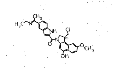 CCN=C(C)c1ccc2[nH]c(C(=O)N3C[C@@H](CCl)c4c3cc(O)c3ccc(OC)cc43)cc2c1